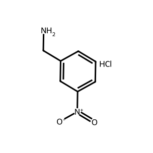 Cl.NCc1cccc([N+](=O)[O-])c1